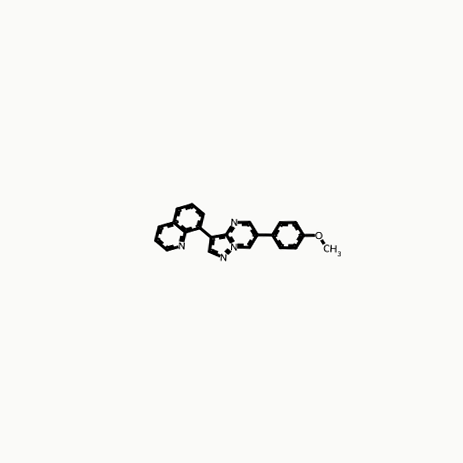 COc1ccc(-c2cnc3c(-c4cccc5cccnc45)cnn3c2)cc1